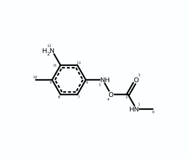 CNC(=O)ONc1ccc(C)c(N)c1